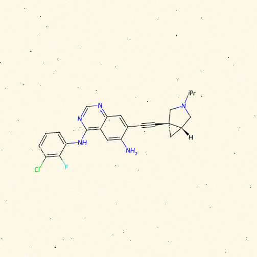 CC(C)N1C[C@@H]2C[C@]2(C#Cc2cc3ncnc(Nc4cccc(Cl)c4F)c3cc2N)C1